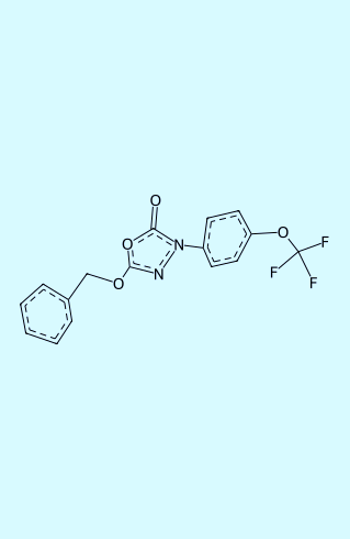 O=c1oc(OCc2ccccc2)nn1-c1ccc(OC(F)(F)F)cc1